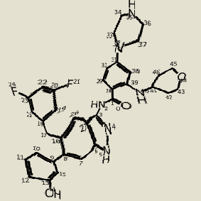 O=C(Nc1n[nH]c2cc(-c3cccc(O)c3)c(Cc3cc(F)cc(F)c3)cc12)c1ccc(N2CCNCC2)cc1NC1CCOCC1